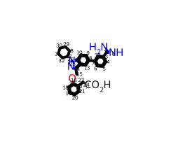 N=C(N)c1cccc(-c2ccc3c(c2)c(COc2ccccc2CC(=O)O)nn3C2CCCCC2)c1